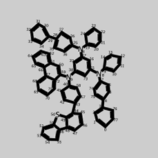 c1ccc(-c2ccc(N(c3ccccc3)c3cc(N(c4ccccc4)c4ccc(-c5ccccc5)cc4)cc(N(c4ccc(-c5cccc6c5sc5ccccc56)cc4)c4cc5ccccc5c5ccccc45)c3)cc2)cc1